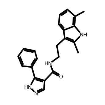 Cc1[nH]c2c(C)cccc2c1CCNC(=O)c1cn[nH]c1-c1ccccc1